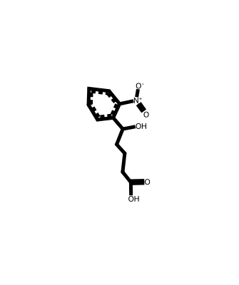 O=C(O)CCCC(O)c1ccccc1[N+](=O)[O-]